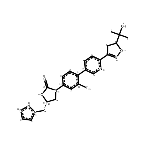 CC(C)(O)C1CC(c2ccc(-c3ccc(N4C[C@H](Cn5ccnn5)OC4=O)cc3F)cn2)=NO1